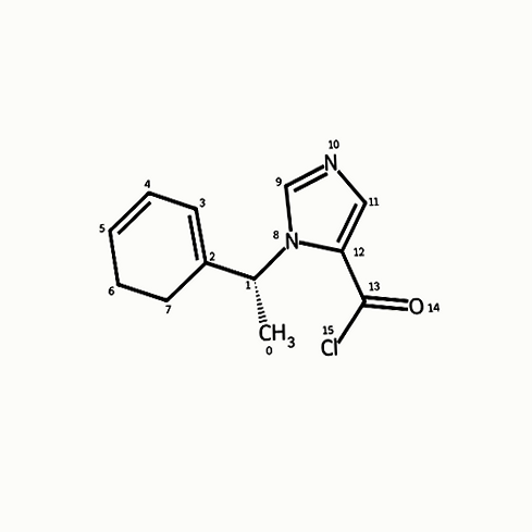 C[C@H](C1=CC=CCC1)n1cncc1C(=O)Cl